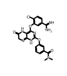 CN(C)C(=O)c1cccc(OC2=NC(Oc3cc(C(=N)N)ccc3Cl)=C3NC(=O)CN=C3N2)c1